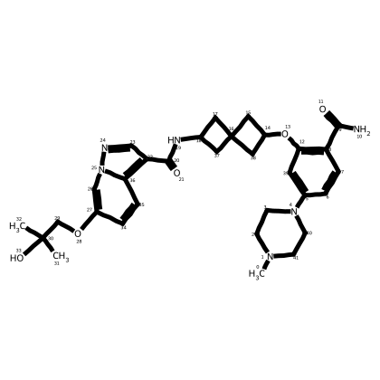 CN1CCN(c2ccc(C(N)=O)c(OC3CC4(CC(NC(=O)c5cnn6cc(OCC(C)(C)O)ccc56)C4)C3)c2)CC1